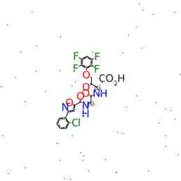 C[C@H](NC(=O)c1cc(-c2ccccc2Cl)no1)C(=O)N[C@@H](CC(=O)O)C(=O)COc1c(F)c(F)cc(F)c1F